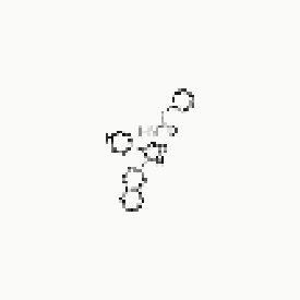 O=C(Cc1ccccc1)Nc1onc(-c2ccc3ccccc3c2)c1-c1ccncc1